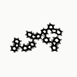 C1=CC2Sc3c(-c4ccc(-c5ccc6c(c5)c5ccccc5n6-c5ccc6sc7ccc(-n8c9ccccc9c9ccccc98)cc7c6c5)c(-c5cccc(-n6c7ccccc7c7ccccc76)c5)c4)cccc3C2C=C1